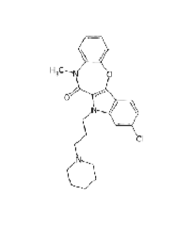 CN1C(=O)c2c(c3ccc(Cl)cc3n2CCCN2CCCCC2)Oc2ccccc21